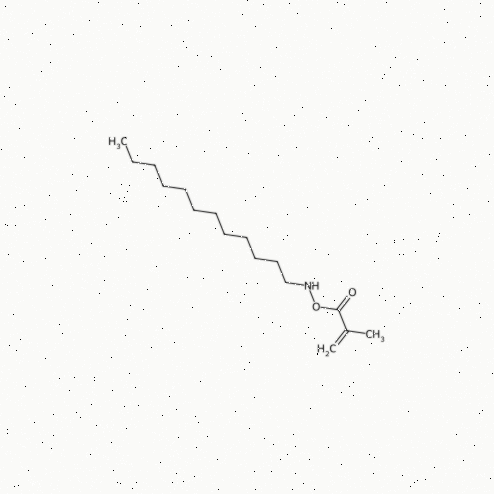 C=C(C)C(=O)ONCCCCCCCCCCCC